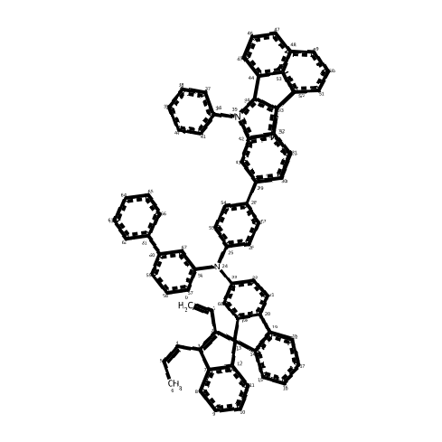 C=CC1=C(/C=C\C)c2ccccc2C12c1ccccc1-c1ccc(N(c3ccc(-c4ccc5c6c(n(-c7ccccc7)c5c4)-c4cccc5cccc-6c45)cc3)c3cccc(-c4ccccc4)c3)cc12